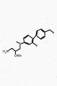 COC(CN)CN(C)c1ccc(-c2ccc(CI)cc2)c(F)c1